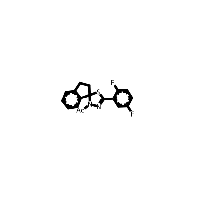 CC(=O)N1N=C(c2cc(F)ccc2F)SC12CCc1ccccc12